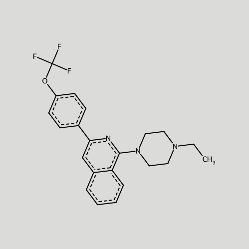 CCN1CCN(c2nc(-c3ccc(OC(F)(F)F)cc3)cc3ccccc23)CC1